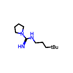 CC(C)(C)CCCNC(=N)N1CCCC1